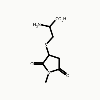 CN1C(=O)CC(SCC(N)C(=O)O)C1=O